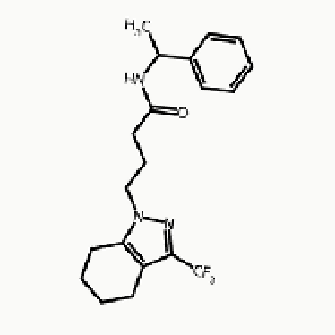 CC(NC(=O)CCCn1nc(C(F)(F)F)c2c1CCCC2)c1ccccc1